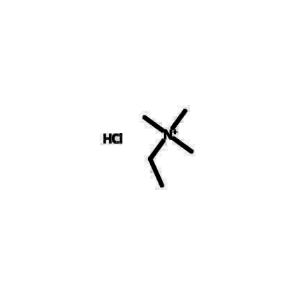 CC[N+](C)(C)C.Cl